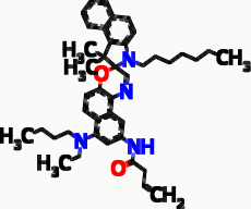 C=CCC(=O)Nc1cc(N(CC)CCCC)c2ccc3c(c2c1)N=CC1(O3)N(CCCCCCC)c2ccc3ccccc3c2C1(C)C